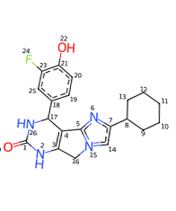 O=C1NC2=C(c3nc(C4CCCCC4)cn3C2)C(c2ccc(O)c(F)c2)N1